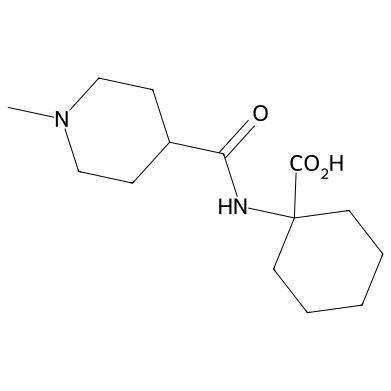 CN1CCC(C(=O)NC2(C(=O)O)CCCCC2)CC1